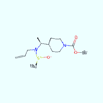 C=CCN([C@@H](C)C1CCN(C(=O)OC(C)(C)C)CC1)[S@@+]([O-])C(C)(C)C